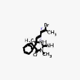 C/C(Br)=C\C=C\[C@@]1(C)NC(=N)N(C)C(=O)C12CC1=CC=CC2C1